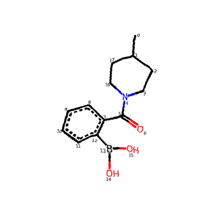 CC1CCN(C(=O)c2ccccc2B(O)O)CC1